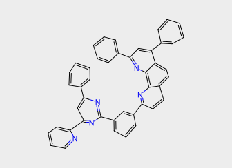 c1ccc(-c2cc(-c3ccccn3)nc(-c3cccc(-c4ccc5ccc6c(-c7ccccc7)cc(-c7ccccc7)nc6c5n4)c3)n2)cc1